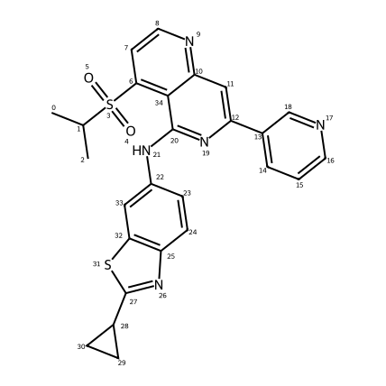 CC(C)S(=O)(=O)c1ccnc2cc(-c3cccnc3)nc(Nc3ccc4nc(C5CC5)sc4c3)c12